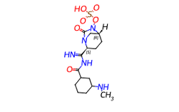 CNC1CCCC(C(=O)NC(=N)[C@@H]2CC[C@@H]3CN2C(=O)N3OS(=O)(=O)O)C1